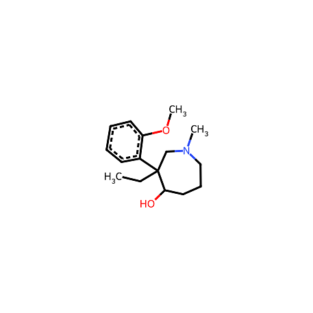 CCC1(c2ccccc2OC)CN(C)CCCC1O